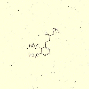 C=CC(=O)CCc1cccc(C(=O)O)c1C(=O)O